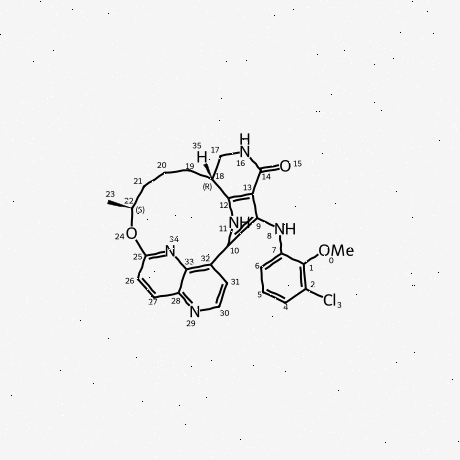 COc1c(Cl)cccc1Nc1c2[nH]c3c1C(=O)NC[C@H]3CCC[C@H](C)Oc1ccc3nccc-2c3n1